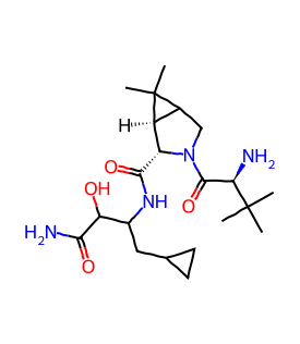 CC(C)(C)[C@H](N)C(=O)N1CC2[C@@H]([C@H]1C(=O)NC(CC1CC1)C(O)C(N)=O)C2(C)C